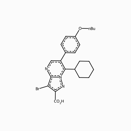 CCCCOc1ccc(-c2cnc3c(Br)c(C(=O)O)nn3c2C2CCCCC2)cc1